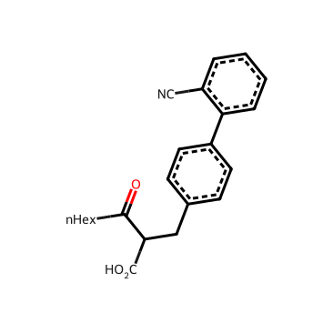 CCCCCCC(=O)C(Cc1ccc(-c2ccccc2C#N)cc1)C(=O)O